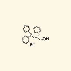 C[C@H](CO)C[P+](c1ccccc1)(c1ccccc1)c1ccccc1.[Br-]